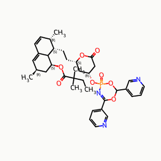 CCC(C)(C)C(=O)O[C@H]1C[C@@H](C)C=C2C=C[C@H](C)[C@H](CC[C@H]3C[C@@H](OP4(=O)N=C(c5cccnc5)OC(c5cccnc5)O4)CC(=O)O3)C21